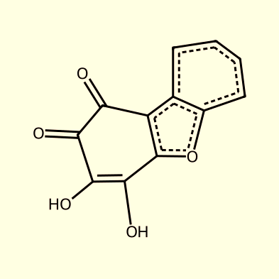 O=C1C(=O)c2c(oc3ccccc23)C(O)=C1O